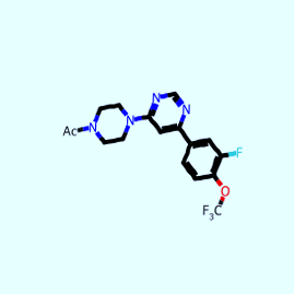 CC(=O)N1CCN(c2cc(-c3ccc(OC(F)(F)F)c(F)c3)ncn2)CC1